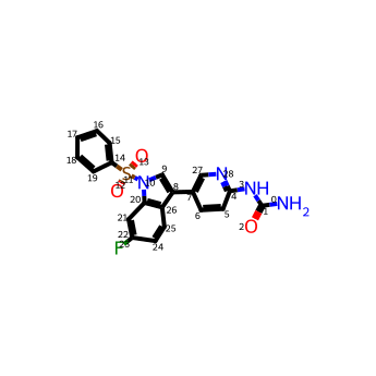 NC(=O)Nc1ccc(-c2cn(S(=O)(=O)c3ccccc3)c3cc(F)ccc23)cn1